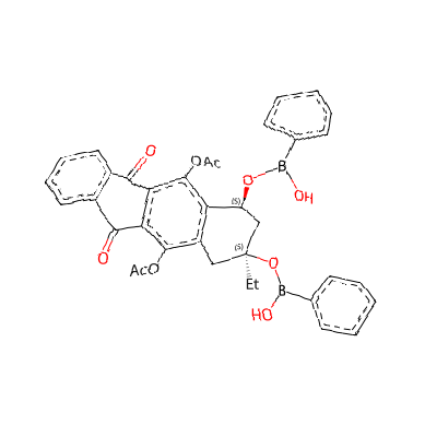 CC[C@]1(OB(O)c2ccccc2)Cc2c(OC(C)=O)c3c(c(OC(C)=O)c2[C@@H](OB(O)c2ccccc2)C1)C(=O)c1ccccc1C3=O